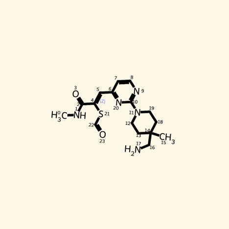 CNC(=O)/C(=C/c1ccnc(N2CCC(C)(CN)CC2)n1)SC=O